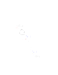 CCCCOc1ccc(NC(=O)CCCCNSC(C)(C)C)cc1